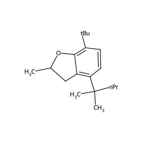 CCCC(C)(C)c1ccc(C(C)(C)C)c2c1CC(C)O2